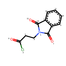 O=C(Cl)CCN1C(=O)c2ccccc2C1=O